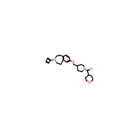 O=C(C1CCOCC1)N1CCC(COc2ccc3c(c2)CCN(C2=CC=C2)CC3)CC1